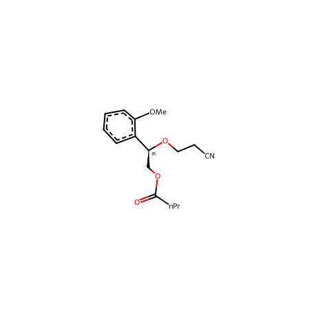 CCCC(=O)OC[C@H](OCCC#N)c1ccccc1OC